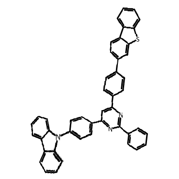 c1ccc(-c2nc(-c3ccc(-c4ccc5c(c4)sc4ccccc45)cc3)cc(-c3ccc(-n4c5ccccc5c5ccccc54)cc3)n2)cc1